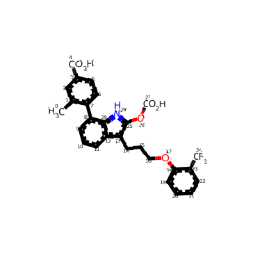 Cc1cc(C(=O)O)ccc1-c1cccc2c(CCCOc3ccccc3C(F)(F)F)c(OC(=O)O)[nH]c12